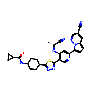 C[C@H](C#N)Nc1cc(-c2ccc3cc(C#N)cnn23)ncc1-c1nnc(C2CCC(NC(=O)C3CC3)CC2)s1